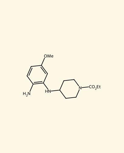 CCOC(=O)N1CCC(Nc2cc(OC)ccc2N)CC1